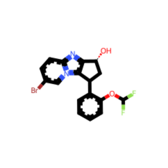 O[C@@H]1CC(c2ccccc2OC(F)F)c2c1nc1ccc(Br)cn21